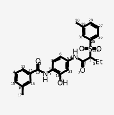 CCC(C(=O)Nc1ccc(NC(=O)c2cccc(C)c2)c(O)c1)S(=O)(=O)c1cccc(C)c1